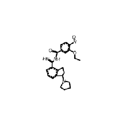 CCOc1cc(C(=O)NC(=N)c2cccc3c2CCC3N2CCCC2)ccc1N=O